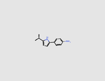 CC(C)c1ccc(-c2ccc(N)cc2)[nH]1